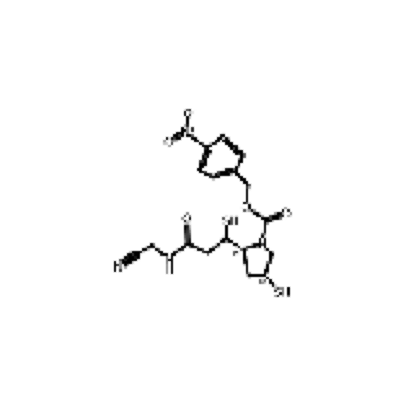 N#CCNC(=O)CC(S)[C@@H]1C[C@H](S)CN1C(=O)OCc1ccc([N+](=O)[O-])cc1